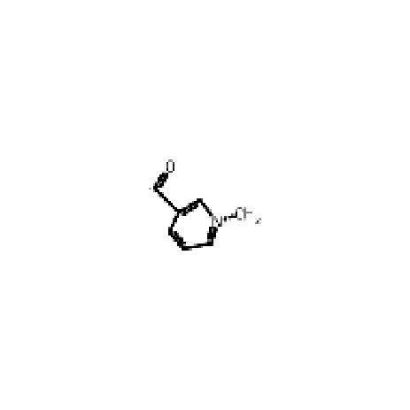 C[n+]1cccc([C]=O)c1